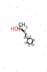 C[C@H](O)C#CC=Cc1ccccc1